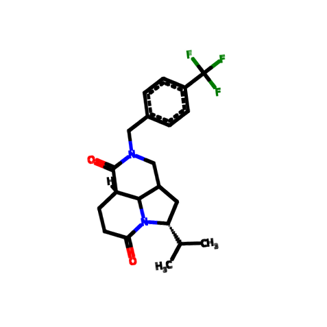 CC(C)[C@H]1CC2CN(Cc3ccc(C(F)(F)F)cc3)C(=O)[C@H]3CCC(=O)N1C23